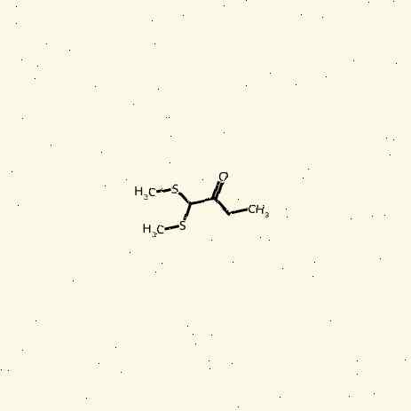 CCC(=O)C(SC)SC